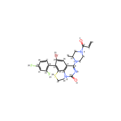 C=CC(=O)N1CCN(c2nc(=O)n3c4c(c(-c5ccc(F)cc5F)c(Br)cc24)SCC3)C(C)C1